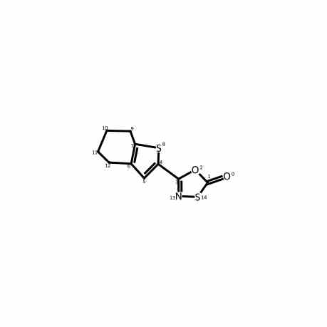 O=c1oc(-c2cc3c(s2)CCCC3)ns1